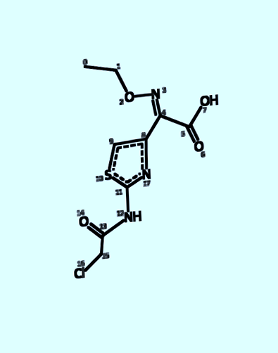 CCO/N=C(/C(=O)O)c1csc(NC(=O)CCl)n1